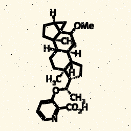 COC1C[C@H]2[C@@H]3CC[C@H]([C@H](C)Oc4cccnc4C(=O)O)[C@@]3(C)CC[C@@H]2[C@@]2(C)CC[C@@H]3CC132